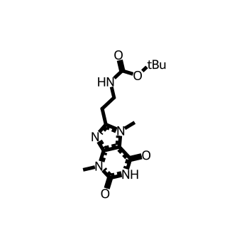 Cn1c(CCNC(=O)OC(C)(C)C)nc2c1c(=O)[nH]c(=O)n2C